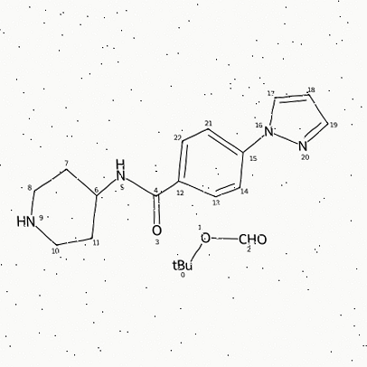 CC(C)(C)OC=O.O=C(NC1CCNCC1)c1ccc(-n2cccn2)cc1